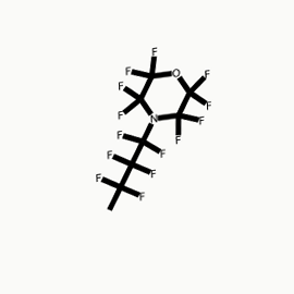 CC(F)(F)C(F)(F)C(F)(F)N1C(F)(F)C(F)(F)OC(F)(F)C1(F)F